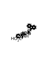 O=C(O)CC(NC(=O)CNC(=O)OCC1c2ccccc2-c2ccccc21)C(=O)N1CCCCC1